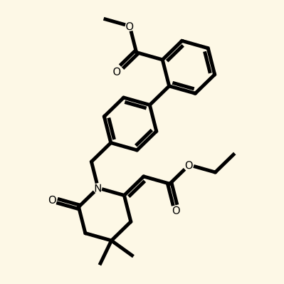 CCOC(=O)C=C1CC(C)(C)CC(=O)N1Cc1ccc(-c2ccccc2C(=O)OC)cc1